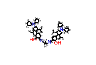 CC(C)c1cc(N(c2ccccc2)c2ccccc2)cc(C(C)C)c1-c1ccc(/C=N/CC(C)(C)C/N=C/c2ccc(-c3c(C(C)C)cc(N(c4ccccc4)c4ccccc4)cc3C(C)C)cc2O)c(O)c1